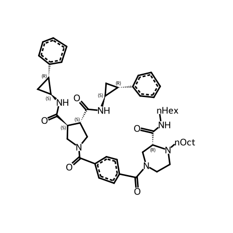 CCCCCCCCN1CCN(C(=O)c2ccc(C(=O)N3C[C@@H](C(=O)N[C@H]4C[C@@H]4c4ccccc4)[C@H](C(=O)N[C@H]4C[C@@H]4c4ccccc4)C3)cc2)C[C@@H]1C(=O)NCCCCCC